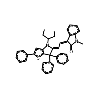 CCC(CC)N1/C(=C\C=C2/C(=O)N(C)c3ccccc32)C(c2ccccc2)(c2ccccc2)c2sc(-c3ccccc3)cc21